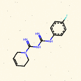 N=C(NC(=N)N1CC=CCC1)Nc1ccc(F)cc1